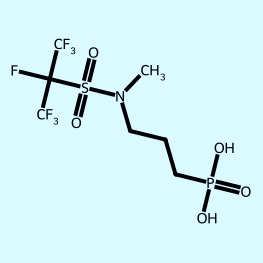 CN(CCCP(=O)(O)O)S(=O)(=O)C(F)(C(F)(F)F)C(F)(F)F